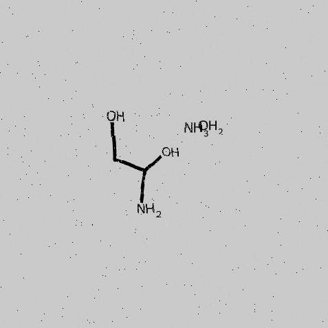 N.NC(O)CO.O